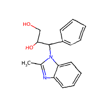 Cc1nc2ccccc2n1C(c1ccccc1)C(O)CO